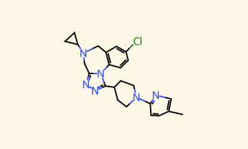 Cc1ccc(N2CCC(c3nnc4n3-c3ccc(Cl)cc3CN(C3CC3)C4)CC2)nc1